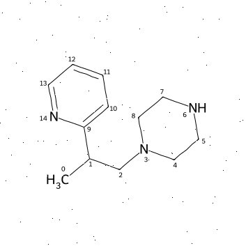 CC(CN1CCNCC1)c1ccccn1